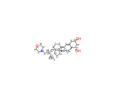 C=C1C(=CC=C2CCC[C@]3(C)[C@@H](C(C)CCN4CCOCC4)CC[C@@H]23)C[C@@H](O)C[C@@H]1O